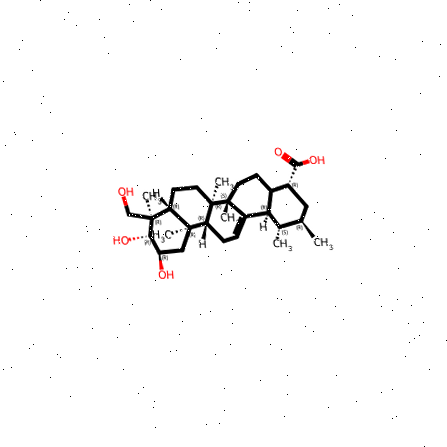 C[C@H]1[C@H](C)C[C@@H](C(=O)O)C2CC[C@]3(C)C(=CC[C@@H]4[C@@]5(C)C[C@@H](O)[C@H](O)[C@@](C)(CO)[C@@H]5CC[C@]43C)[C@@H]21